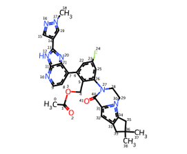 CC(=O)OCc1c(-c2ccnc3[nH]c(-c4cnn(C)c4)nc23)cc(F)cc1N1CCn2c(cc3c2CC(C)(C)C3)C1=O